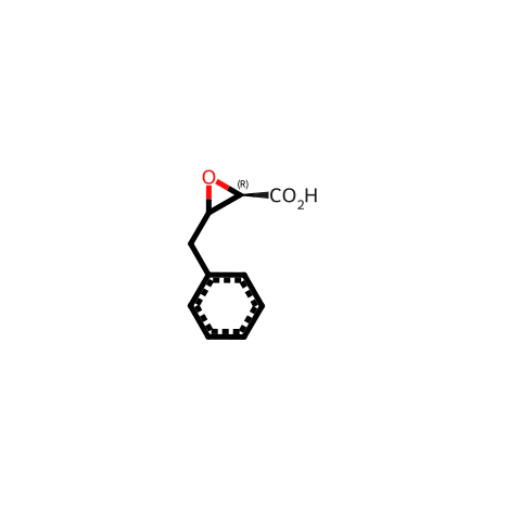 O=C(O)[C@@H]1OC1Cc1ccccc1